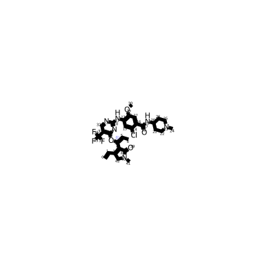 C=CC1=C(/C(=C\C)Oc2nc(Nc3cc(Cl)c(C(=O)NC4CCN(C)CC4)cc3OC)ncc2C(F)(F)F)C(=O)N(C)C1